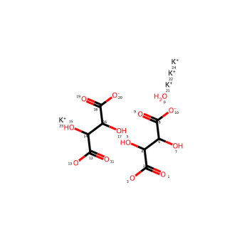 O.O=C([O-])C(O)C(O)C(=O)[O-].O=C([O-])C(O)C(O)C(=O)[O-].[K+].[K+].[K+].[K+]